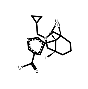 CO[C@]1(c2cncc(C(N)=O)c2)[C@@H]2CCC[C@H]1CN(CC1CC1)C2